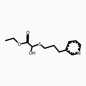 CCOC(=O)C(O)SCCCc1cccnc1